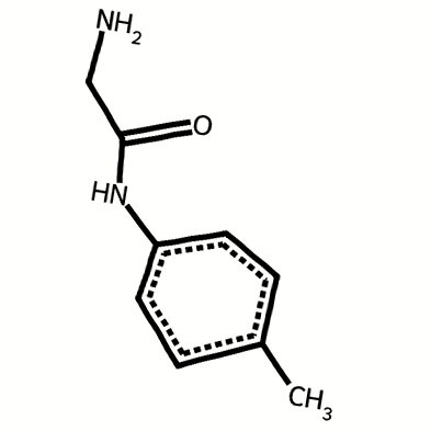 Cc1ccc(NC(=O)CN)cc1